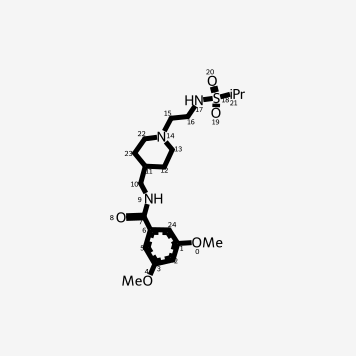 COc1cc(OC)cc(C(=O)NCC2CCN(CCNS(=O)(=O)C(C)C)CC2)c1